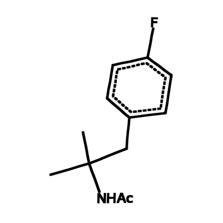 CC(=O)NC(C)(C)Cc1ccc(F)cc1